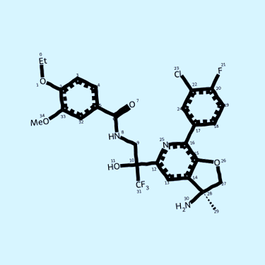 CCOc1ccc(C(=O)NCC(O)(c2cc3c(c(-c4ccc(F)c(Cl)c4)n2)OC[C@@]3(C)N)C(F)(F)F)cc1OC